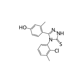 Cc1cc(O)ccc1-c1n[nH]c(=S)n1-c1cccc(C)c1Cl